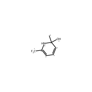 CC1(O)C=CC=C(C(F)(F)F)N1